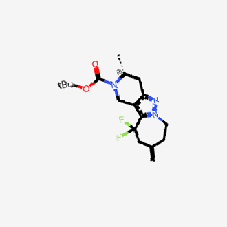 C=C1CCn2nc3c(c2C(F)(F)C1)CN(C(=O)OC(C)(C)C)[C@H](C)C3